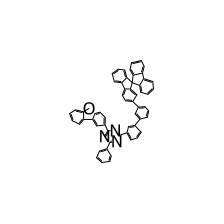 c1ccc(-c2nc(-c3cccc(-c4cccc(-c5ccc6c(c5)C5(c7ccccc7-c7ccccc75)c5ccccc5-6)c4)c3)nc(-c3ccc4oc5ccccc5c4c3)n2)cc1